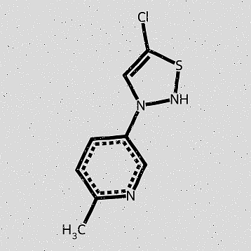 Cc1ccc(N2C=C(Cl)SN2)cn1